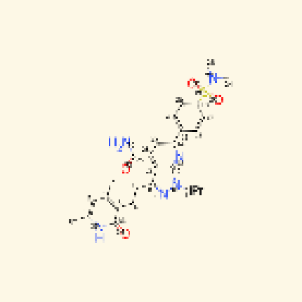 Cc1cc(C)c(CCc2nn(C(C)C)c3nc(-c4ccc(S(=O)(=O)N(C)C)cc4)cc(C(N)=O)c23)c(=O)[nH]1